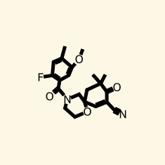 COc1cc(C(=O)N2CCOC3(C=C(C#N)C(=O)C(C)(C)C3)C2)c(F)cc1C